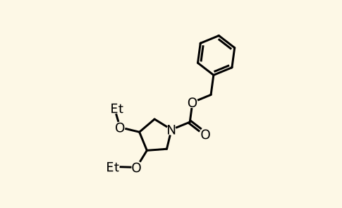 CCOC1CN(C(=O)OCc2ccccc2)CC1OCC